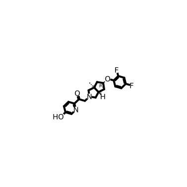 C[C@]12C[C@H](Oc3ccc(F)cc3F)C[C@H]1CN(CC(=O)c1ccc(O)cn1)C2